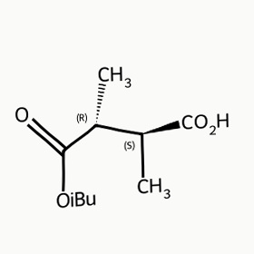 CC(C)COC(=O)[C@H](C)[C@H](C)C(=O)O